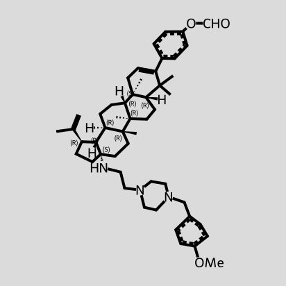 C=C(C)[C@@H]1CC[C@]2(NCCN3CCN(Cc4ccc(OC)cc4)CC3)CC[C@]3(C)[C@H](CC[C@@H]4[C@@]5(C)CC=C(c6ccc(OC=O)cc6)C(C)(C)[C@@H]5CC[C@]43C)[C@@H]12